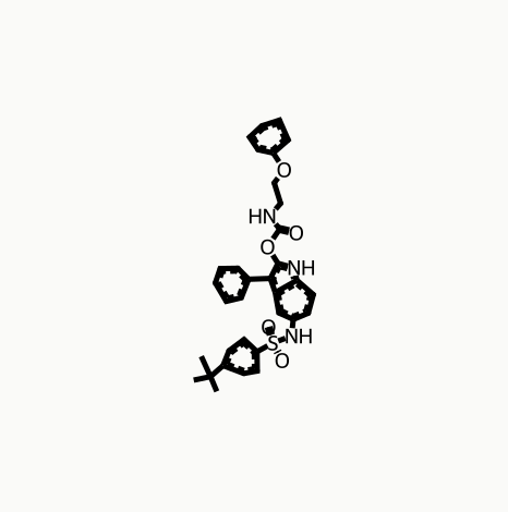 CC(C)(C)c1ccc(S(=O)(=O)Nc2ccc3[nH]c(OC(=O)NCCOc4ccccc4)c(-c4ccccc4)c3c2)cc1